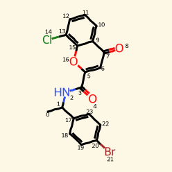 CC(NC(=O)c1cc(=O)c2cccc(Cl)c2o1)c1ccc(Br)cc1